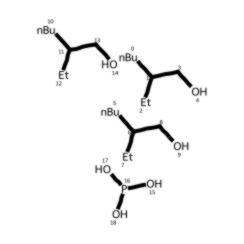 CCCCC(CC)CO.CCCCC(CC)CO.CCCCC(CC)CO.OP(O)O